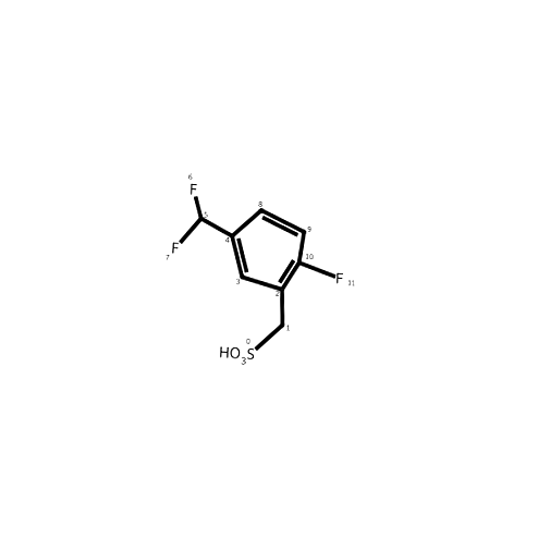 O=S(=O)(O)Cc1cc(C(F)F)ccc1F